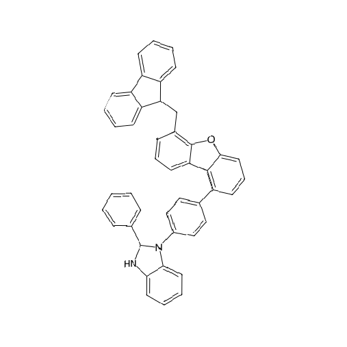 c1ccc(C2Nc3ccccc3N2c2ccc(-c3cccc4oc5c(CC6c7ccccc7-c7ccccc76)cccc5c34)cc2)cc1